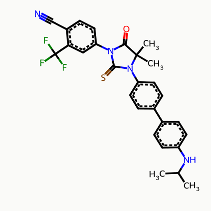 CC(C)Nc1ccc(-c2ccc(N3C(=S)N(c4ccc(C#N)c(C(F)(F)F)c4)C(=O)C3(C)C)cc2)cc1